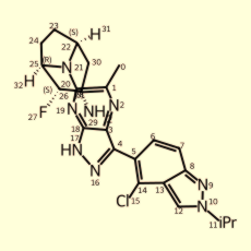 Cc1nc2c(-c3ccc4nn(C(C)C)cc4c3Cl)n[nH]c2nc1N1[C@H]2CC[C@@H]1[C@@H](F)[C@@H](N)C2